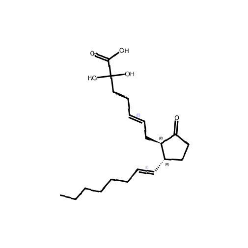 CCCCCC/C=C/[C@H]1CCC(=O)[C@@H]1C/C=C/CCC(O)(O)C(=O)O